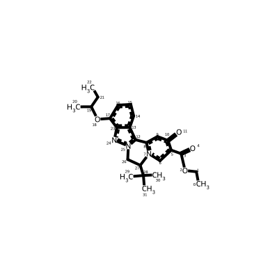 CCOC(=O)c1cn2c(cc1=O)-c1c3cccc(OC(C)CC)c3nn1CC2C(C)(C)C